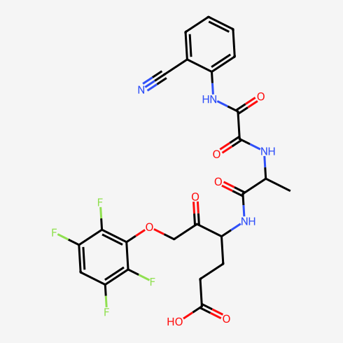 CC(NC(=O)C(=O)Nc1ccccc1C#N)C(=O)NC(CCC(=O)O)C(=O)COc1c(F)c(F)cc(F)c1F